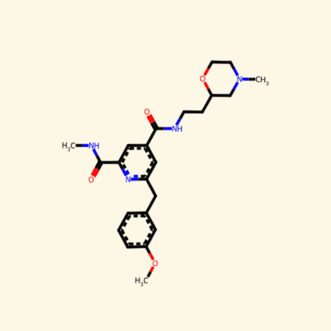 CNC(=O)c1cc(C(=O)NCCC2CN(C)CCO2)cc(Cc2cccc(OC)c2)n1